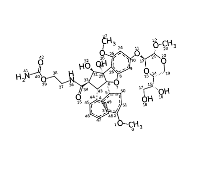 COc1ccc([C@@]23Oc4cc(O[C@@H]5O[C@@H]([C@H](O)CO)CO[C@H]5OC)cc(OC)c4[C@]2(O)[C@H](O)[C@H](C(=O)NCCOC(N)=O)[C@H]3c2ccccc2)cc1